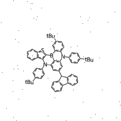 CC(C)(C)c1ccc(N2c3ccc(C(C)(C)C)cc3B3c4sc5ccccc5c4N(c4ccc(C(C)(C)C)cc4)c4cc(C5c6ccccc6-c6ccccc65)cc2c43)cc1